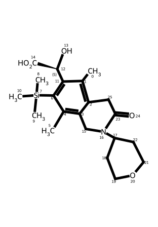 Cc1c2c(c(C)c([Si](C)(C)C)c1[C@H](O)C(=O)O)CN(C1CCOCC1)C(=O)C2